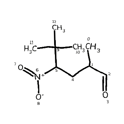 CC(C=O)CC([N+](=O)[O-])C(C)(C)C